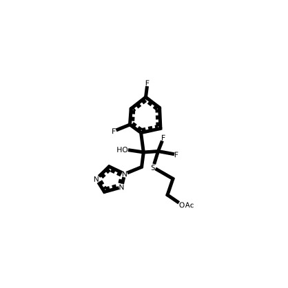 CC(=O)OCCSC(F)(F)C(O)(Cn1cncn1)c1ccc(F)cc1F